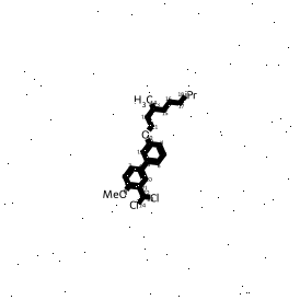 COc1ccc(-c2cccc(OCCC(C)CCCC(C)C)c2)cc1C(Cl)Cl